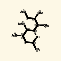 CC(=O)N[C@H]1[C@H]([C@H](OC(C)=O)[C@@H](COC(C)=O)OC(C)=O)OC(C)C[C@@H]1OC(C)=O